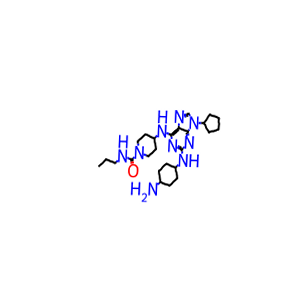 CCCNC(=O)N1CCC(Nc2nc(NC3CCC(N)CC3)nc3c2ncn3C2CCCC2)CC1